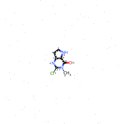 Cn1c(Cl)nc2cc[nH]c2c1=O